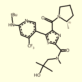 C[C@H]1CCCN1C(=O)c1nc(C(=O)N(C)CC(C)(C)O)sc1-c1cnc(NC(C)(C)C)cc1C(F)(F)F